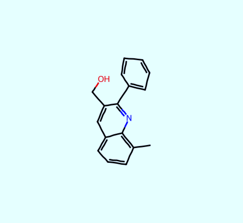 Cc1cccc2cc(CO)c(-c3ccccc3)nc12